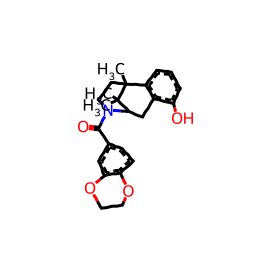 CC12CCN(C(=O)c3ccc4c(c3)OCCO4)C(Cc3c(O)cccc31)C2(C)C